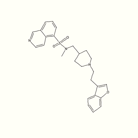 CN(CC1CCN(CCc2coc3ccccc23)CC1)S(=O)(=O)c1cccc2cnccc12